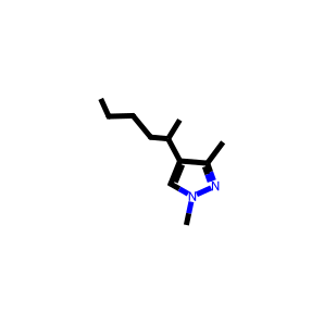 CCCCC(C)c1cn(C)nc1C